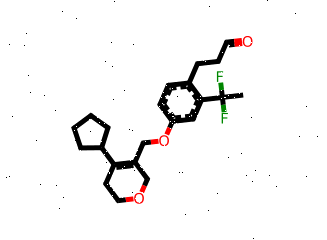 CC(F)(F)c1cc(OCC2=C(C3CCCC3)CCOC2)ccc1CCC=O